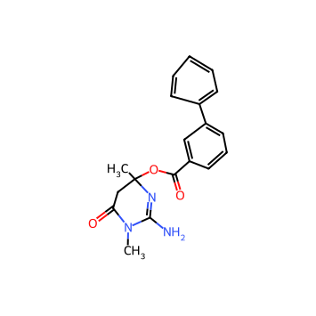 CN1C(=O)CC(C)(OC(=O)c2cccc(-c3ccccc3)c2)N=C1N